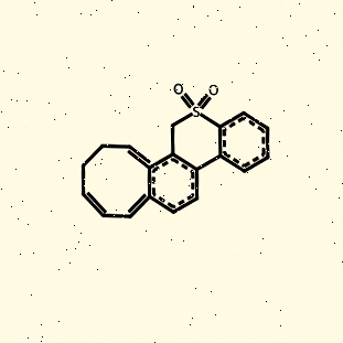 O=S1(=O)Cc2c(ccc3/c2=C\CC/C=C\C=3)-c2ccccc21